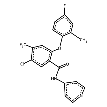 Cc1cc(F)ccc1Oc1cc(C(F)(F)F)c(Cl)cc1C(=O)Nc1ccncc1